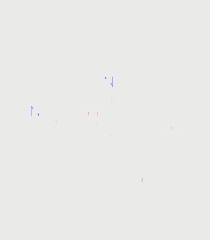 COc1ccccc1-c1cccnc1Oc1ccc(C)nc1